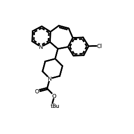 CC(C)(C)OC(=O)N1CCC(C2c3ccc(Cl)cc3C=Cc3cccnc32)CC1